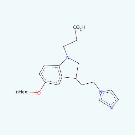 CCCCCCOc1ccc2c(c1)C(CCn1ccnc1)CN2CCC(=O)O